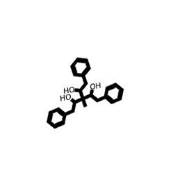 CC(C(O)Cc1ccccc1)(C(O)Cc1ccccc1)C(O)Cc1ccccc1